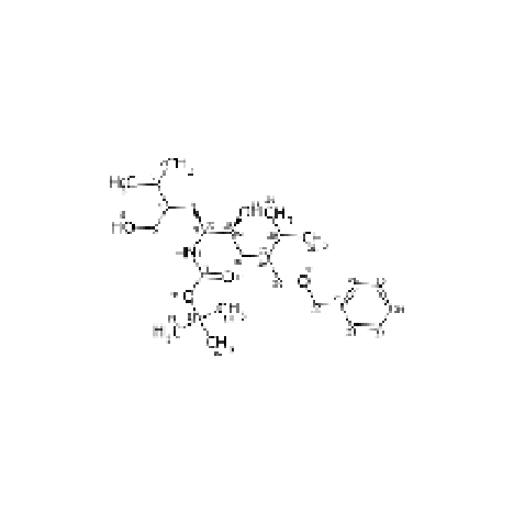 CC(C)C(CO)C[C@H](NC(=O)OC(C)(C)C)[C@@H](O)C[C@H](COCc1ccccc1)C(C)C